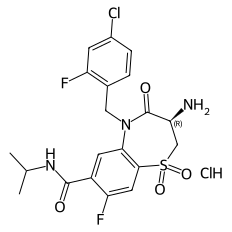 CC(C)NC(=O)c1cc2c(cc1F)S(=O)(=O)C[C@H](N)C(=O)N2Cc1ccc(Cl)cc1F.Cl